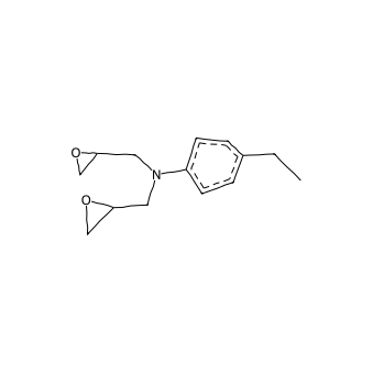 CCc1ccc(N(CC2CO2)CC2CO2)cc1